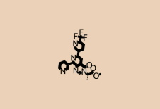 COC(=O)[C@H](C)n1cnc2c(-c3cccnc3)nc(-c3ccc(C(F)(F)F)nc3)cc2c1=O